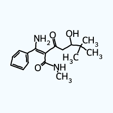 CNC(=O)C(C(=O)CC(O)C(C)(C)C)=C(N)c1ccccc1